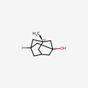 C[C@@]12CC3CC(O)(CC(I)(C3)C1)C2